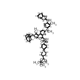 Cc1cc(N(C)c2ccc(-c3cnn(CC45CC6CC(CC(C6)C4)C5)c3C)c(C(=O)NS(=O)(=O)c3ccc(N4CCC(C(=O)OC(C)(C)C)CC4)cc3)n2)nnc1Nc1nc2cccnc2s1